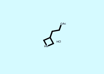 CC(=O)OCCC1CNC1.Cl